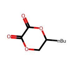 CCCCC1COC(=O)C(=O)O1